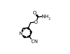 N#Cc1cncc(COC(N)=O)c1